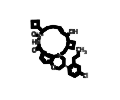 CCCc1cc(Cl)ccc1[C@@H]1COc2ccc3cc2N(CC2CCC2C(O)/C=C/CCC(C2CCC2)[S+]([O-])NC3=O)C1